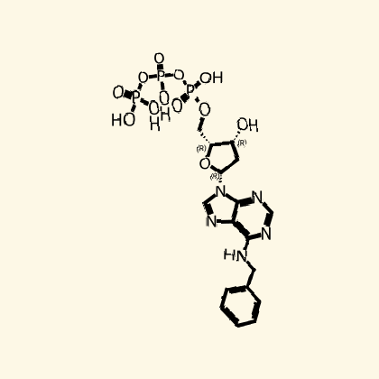 O=P(O)(O)OP(=O)(O)OP(=O)(O)OC[C@H]1O[C@@H](n2cnc3c(NCc4ccccc4)ncnc32)C[C@H]1O